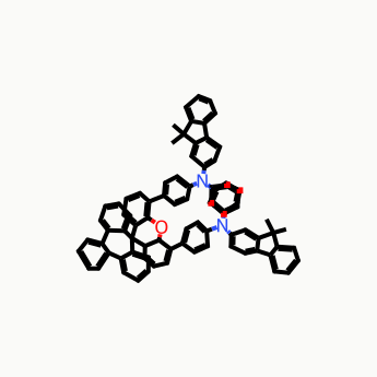 CC1(C)c2ccccc2-c2ccc(N(c3ccccc3)c3ccc(C4=CC=CC5C4Oc4c(-c6ccc(N(c7ccccc7)c7ccc8c(c7)C(C)(C)c7ccccc7-8)cc6)cccc4C54c5ccccc5-c5ccccc5-c5ccccc54)cc3)cc21